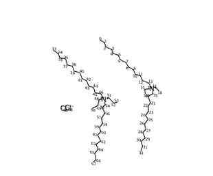 CCCCCCCCCCCCCC[N+](CC)(CC)CCCCCCCCCCCCCC.CCCCCCCCCCCCCC[N+](CCC)(CCC)CCCCCCCCCCCCCC.[Cl-].[Cl-]